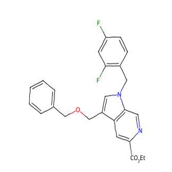 CCOC(=O)c1cc2c(COCc3ccccc3)cn(Cc3ccc(F)cc3F)c2cn1